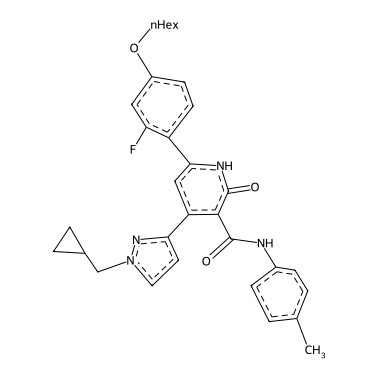 CCCCCCOc1ccc(-c2cc(-c3ccn(CC4CC4)n3)c(C(=O)Nc3ccc(C)cc3)c(=O)[nH]2)c(F)c1